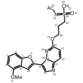 COc1cccc2oc(-c3cnc4ccc(OCCCS(C)(=O)=NC(C)=O)nn34)cc12